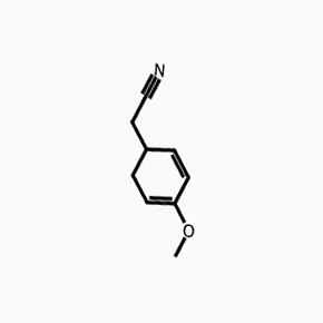 COC1=CCC(CC#N)C=C1